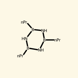 CCCB1NB(CCC)NB(CCC)N1